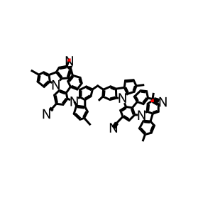 Cc1ccc2c(c1)c1cc(C)ccc1n2-c1cc(C#N)cc(-n2c3ccc(C)cc3c3cc(Cc4cc5c6ccc(C)cc6n(-c6cc(C#N)cc(-n7c8cc(C)ccc8c8ccc(C)cc87)c6-c6cccc(C#N)c6)c5cc4C)ccc32)c1-c1cccc(C#N)c1